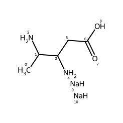 CC(N)C(N)CC(=O)O.[NaH].[NaH]